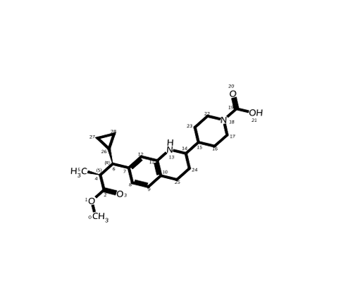 COC(=O)[C@@H](C)[C@H](c1ccc2c(c1)NC(C1CCN(C(=O)O)CC1)CC2)C1CC1